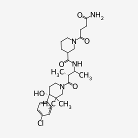 CC(NC(=O)C1CCCN(C(=O)CCC(N)=O)C1)[C@@H](C)C(=O)N1CC[C@](O)(c2ccc(Cl)cc2)C(C)(C)C1